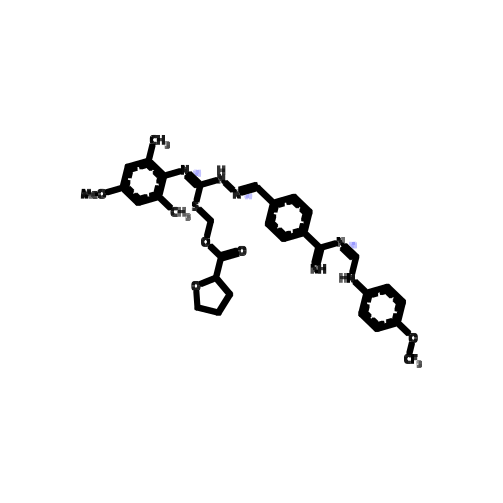 COc1cc(C)c(/N=C(/N/N=C/c2ccc(C(=N)/N=C\Nc3ccc(OC(F)(F)F)cc3)cc2)SCOC(=O)C2CCCO2)c(C)c1